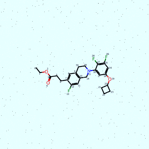 CCOC(=O)CCc1cc2c(cc1F)CN(c1cc(OC3CCC3)cc(F)c1F)CC2